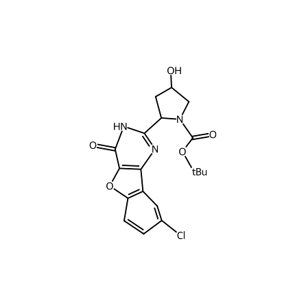 CC(C)(C)OC(=O)N1CC(O)CC1c1nc2c(oc3ccc(Cl)cc32)c(=O)[nH]1